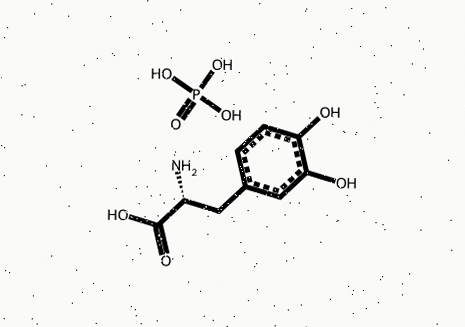 N[C@H](Cc1ccc(O)c(O)c1)C(=O)O.O=P(O)(O)O